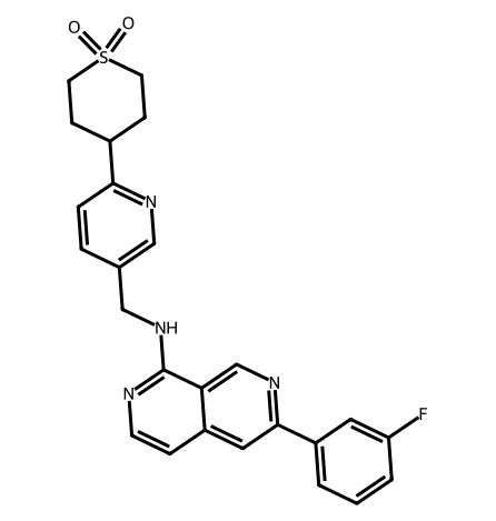 O=S1(=O)CCC(c2ccc(CNc3nccc4cc(-c5cccc(F)c5)ncc34)cn2)CC1